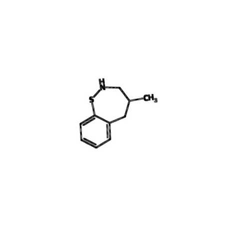 CC1CNSc2ccccc2C1